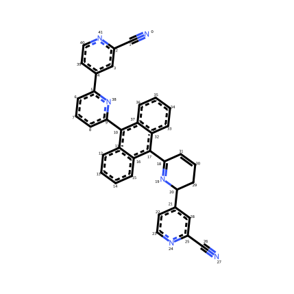 N#Cc1cc(-c2cccc(-c3c4ccccc4c(C4=NC(c5ccnc(C#N)c5)CC=C4)c4ccccc34)n2)ccn1